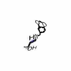 C[C@H](O)/C=C/NCc1ccc2c(c1)OCO2